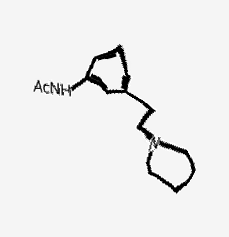 CC(=O)Nc1cccc(CCN2CCCC2)c1